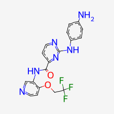 Nc1ccc(Nc2nccc(C(=O)Nc3cnccc3OCC(F)(F)F)n2)cc1